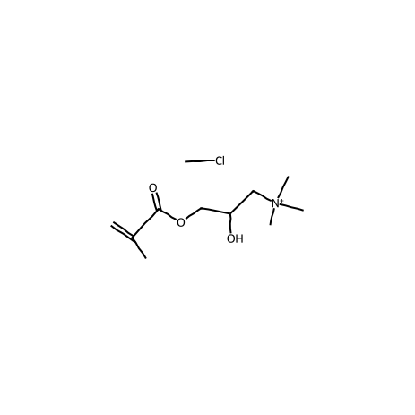 C=C(C)C(=O)OCC(O)C[N+](C)(C)C.CCl